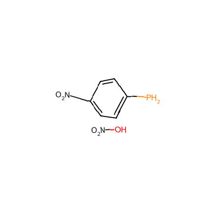 O=[N+]([O-])O.O=[N+]([O-])c1ccc(P)cc1